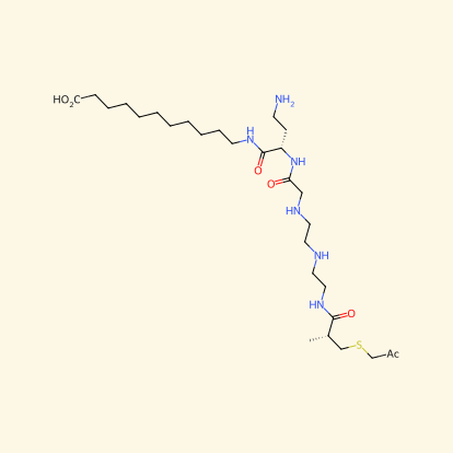 CC(=O)CSC[C@H](C)C(=O)NCCNCCNCC(=O)N[C@@H](CCN)C(=O)NCCCCCCCCCCC(=O)O